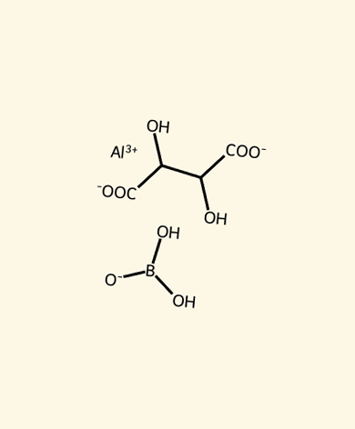 O=C([O-])C(O)C(O)C(=O)[O-].[Al+3].[O-]B(O)O